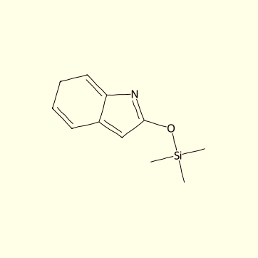 C[Si](C)(C)OC1=NC2=CCC=CC2=C1